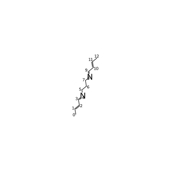 CC=CC=NCCCN=CC=CC